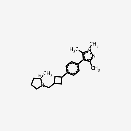 Cc1nn(C)c(C)c1-c1ccc(C2CC(CN3CCC[C@H]3C)C2)cc1